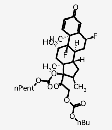 CCCCCOC(=O)O[C@]1(C(=O)COC(=O)OCCCC)[C@H](C)C[C@H]2[C@@H]3C[C@H](F)C4=CC(=O)C=C[C@]4(C)[C@@]3(F)[C@@H](O)C[C@@]21C